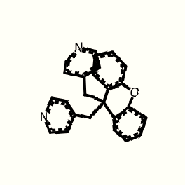 c1ccc2c(c1)Oc1ccccc1C2(Cc1ccncc1)Cc1ccncc1